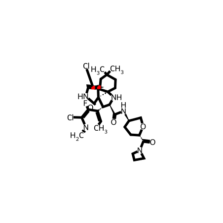 C=N/C(Cl)=C(F)\C(=C/C)[C@H]1[C@H](C(=O)N[C@@H]2CC[C@@H](C(=O)N3CCC3)OC2)NC2(CCC(C)(C)CC2)[C@@]12C(=O)Nc1cc(Cl)ccc12